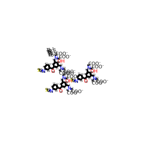 O=C([O-])CN(CC(=O)[O-])Cc1cc(C(=O)c2cccc(N=C=S)c2)cc(CN(CC(=O)[O-])CC(=O)[O-])c1O.O=C([O-])CN(CC(=O)[O-])Cc1cc(C(=O)c2cccc(N=C=S)c2)cc(CN(CC(=O)[O-])CC(=O)[O-])c1O.O=C([O-])CN(CC(=O)[O-])Cc1cc(C(=O)c2cccc(N=C=S)c2)cc(CN(CC(=O)[O-])CC(=O)[O-])c1O.[Tb+3].[Tb+3].[Tb+3].[Tb+3]